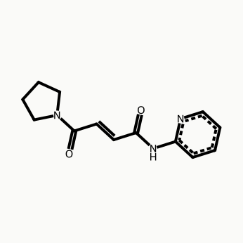 O=C(C=CC(=O)N1CCCC1)Nc1ccccn1